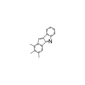 Cc1cc2c(c(C)c1C)C=C1C2=Nc2ccccc21